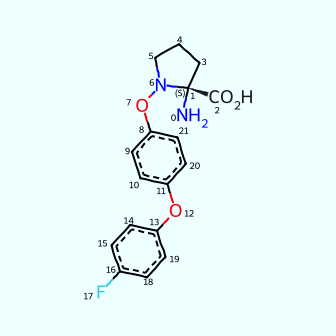 N[C@@]1(C(=O)O)CCCN1Oc1ccc(Oc2ccc(F)cc2)cc1